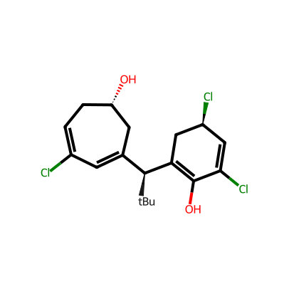 CC(C)(C)[C@@H](C1=CC(Cl)=CC[C@H](O)C1)C1=C(O)C(Cl)=C[C@H](Cl)C1